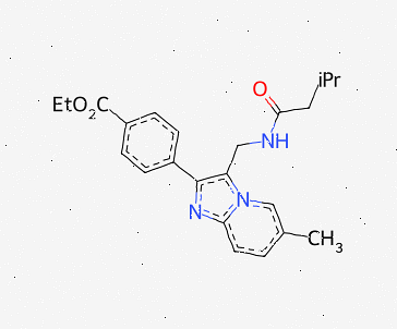 CCOC(=O)c1ccc(-c2nc3ccc(C)cn3c2CNC(=O)CC(C)C)cc1